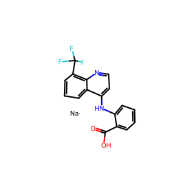 O=C(O)c1ccccc1Nc1ccnc2c(C(F)(F)F)cccc12.[Na]